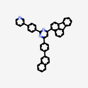 c1cncc(-c2ccc(-c3nc(-c4ccc(-c5ccc6ccccc6c5)cc4)cc(-c4ccc5c6c(cccc46)-c4ccccc4-5)n3)cc2)c1